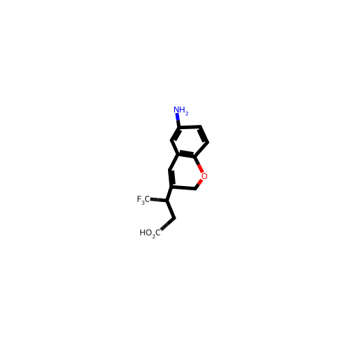 Nc1ccc2c(c1)C=C(C(CC(=O)O)C(F)(F)F)CO2